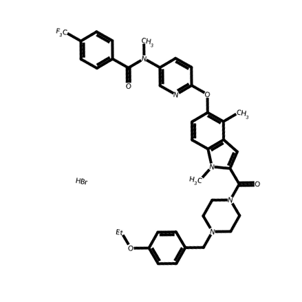 Br.CCOc1ccc(CN2CCN(C(=O)c3cc4c(C)c(Oc5ccc(N(C)C(=O)c6ccc(C(F)(F)F)cc6)cn5)ccc4n3C)CC2)cc1